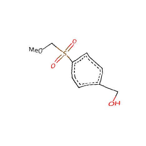 COCS(=O)(=O)c1ccc(CO)cc1